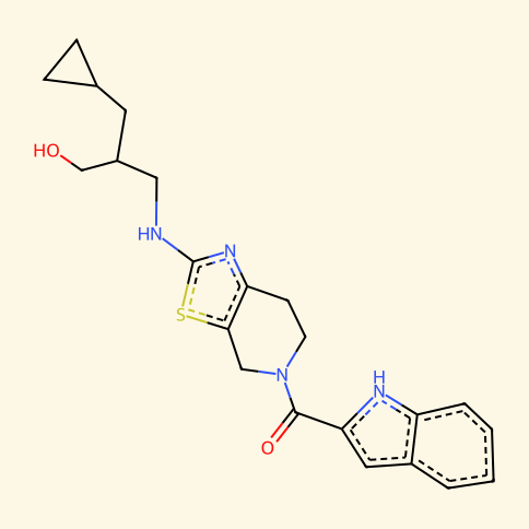 O=C(c1cc2ccccc2[nH]1)N1CCc2nc(NCC(CO)CC3CC3)sc2C1